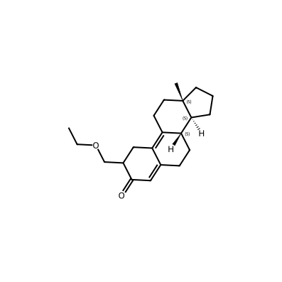 CCOCC1CC2=C3CC[C@]4(C)CCC[C@H]4[C@@H]3CCC2=CC1=O